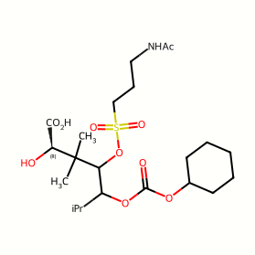 CC(=O)NCCCS(=O)(=O)OC(C(OC(=O)OC1CCCCC1)C(C)C)C(C)(C)[C@@H](O)C(=O)O